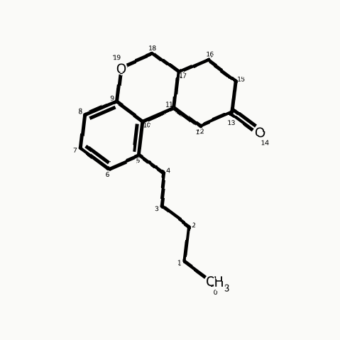 CCCCCc1cccc2c1C1CC(=O)CCC1CO2